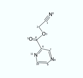 N#CCOC(=O)c1cnccn1